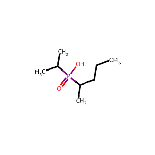 [CH2]C(CCC)P(=O)(O)C(C)C